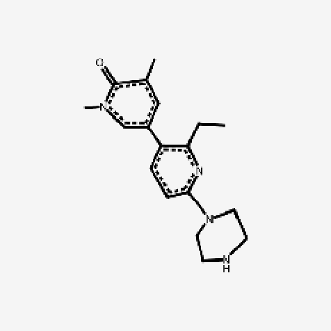 CCc1nc(N2CCNCC2)ccc1-c1cc(C)c(=O)n(C)c1